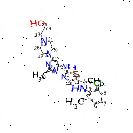 C=C(Nc1c(C)cccc1Cl)c1cnc(Nc2cc(N3CCN(CCO)CC3)nc(C)n2)s1